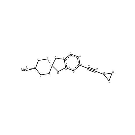 CO[C@H]1CC[C@]2(CC1)Cc1ccc(C#CC3CC3)cc1C2